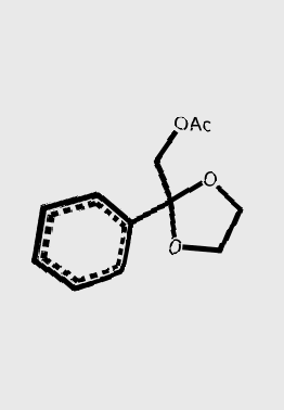 CC(=O)OCC1(c2ccccc2)OCCO1